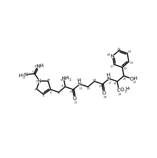 N=C(N)N1CC=C(CC(N)C(=O)NCCC(=O)NC(C(=O)O)C(O)c2cccnc2)C1